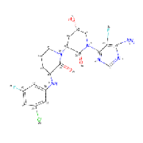 Nc1ncnc(N2C[C@@H](O)C[C@@H](N3CCCC(Nc4cc(F)cc(Cl)c4)C3=O)C2=O)c1F